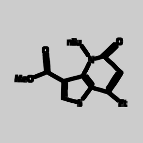 CCCCn1c(=O)cc(CC)c2scc(C(=O)OC)c21